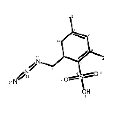 CC1=CC(C)=C(S(=O)(=O)O)C(CN=[N+]=[N-])C1